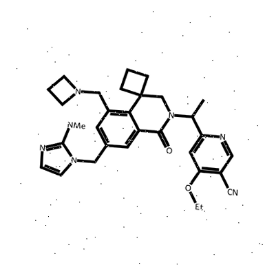 CCOc1cc(C(C)N2CC3(CCC3)c3c(CN4CCC4)cc(Cn4ccnc4NC)cc3C2=O)ncc1C#N